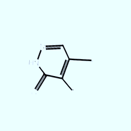 O=c1[nH]ncc(I)c1I